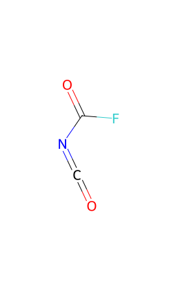 O=C=NC(=O)F